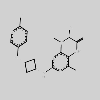 Cc1nc(N[C@H]2C[C@@H](Nc3ccc(C(F)(F)F)nc3)C2)nc2c1NC(=O)[C@H](C(C)C)N2C